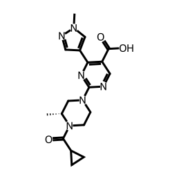 C[C@@H]1CN(c2ncc(C(=O)O)c(-c3cnn(C)c3)n2)CCN1C(=O)C1CC1